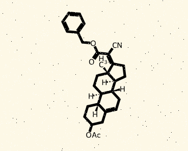 CC(=O)OC1CC[C@H]2C(=CC[C@@H]3[C@@H]2CC[C@]2(C)C(=C(C#N)C(=O)OCc4ccccc4)CC[C@@H]32)C1